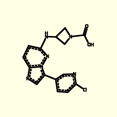 O=C(O)N1CC(Nc2ccc3ncc(-c4ccc(Cl)nc4)n3n2)C1